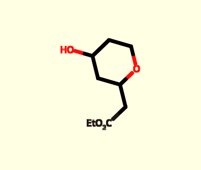 CCOC(=O)CC1CC(O)CCO1